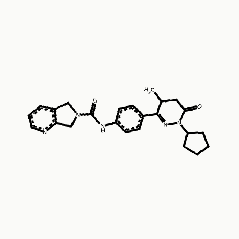 CC1CC(=O)N(C2CCCC2)N=C1c1ccc(NC(=O)N2Cc3cccnc3C2)cc1